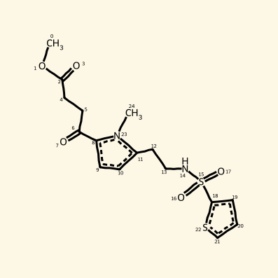 COC(=O)CCC(=O)c1ccc(CCNS(=O)(=O)c2cccs2)n1C